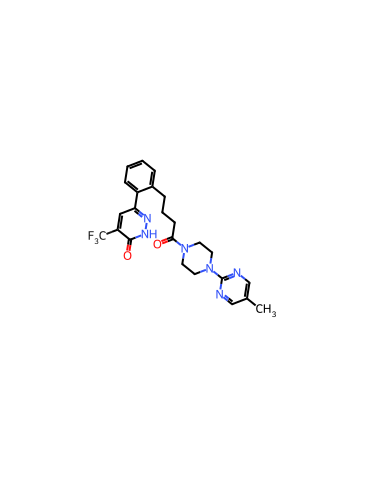 Cc1cnc(N2CCN(C(=O)CCCc3ccccc3-c3cc(C(F)(F)F)c(=O)[nH]n3)CC2)nc1